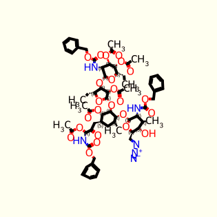 CC[C@@H]1O[C@H](O[C@H]2[C@@H](OC(C)=O)[C@H](O[C@@H]3[C@@H](OC(C)=O)[C@H](CC(=O)[C@H](NC(=O)OCc4ccccc4)OC(C)=O)C[C@H](C)[C@H]3O[C@H]3O[C@H](CN=[N+]=[N-])[C@@H](O)[C@H](C)[C@H]3NC(=O)OCc3ccccc3)O[C@@H]2CC)[C@H](NC(=O)OCc2ccccc2)[C@@H](OC(C)=O)[C@@H]1OC(C)=O